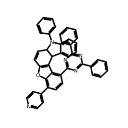 C1=CC2C(c3ccccc3N2c2ccccc2)c2c1oc1c(-c3ccncc3)ccc(-c3nc(-c4ccccc4)nc(-c4ccccc4)n3)c21